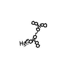 C#C/C=C\c1cc(N(c2ccc(/C=C/c3ccc(N(c4ccc5ccccc5c4)c4ccc5ccccc5c4)cc3)cc2)c2ccc3ccccc3c2)ccc1C